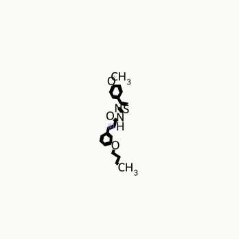 CCCCOc1cccc(/C=C/C(=O)Nc2nc(-c3ccc(OC)cc3)cs2)c1